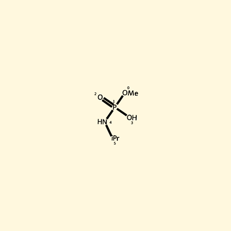 COP(=O)(O)NC(C)C